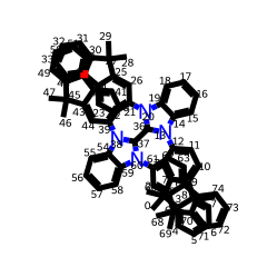 CC1(C)c2ccccc2-c2ccc(N3c4ccccc4N(c4ccc5c(c4)C(C)(C)c4ccccc4-5)C3C3N(c4ccc5c(c4)C(C)(C)c4ccccc4-5)c4ccccc4N3c3ccc4c(c3)C(C)(C)c3ccccc3-4)cc21